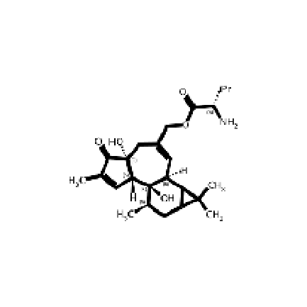 CC1=C[C@H]2[C@@]3(O)[C@H](C)CC4C([C@@H]3C=C(COC(=O)[C@@H](N)C(C)C)C[C@]2(O)C1=O)C4(C)C